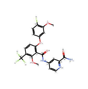 COc1cc(Oc2ccc(C(F)(F)F)c(OC)c2C(=O)Nc2ccnc(C(N)=O)c2)ccc1F